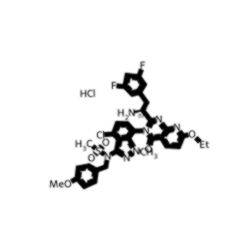 CCOc1ccc2c(=O)n(-c3ccc(Cl)c4c(N(Cc5ccc(OC)cc5)S(C)(=O)=O)nn(C)c34)c([C@@H](N)Cc3cc(F)cc(F)c3)nc2n1.Cl